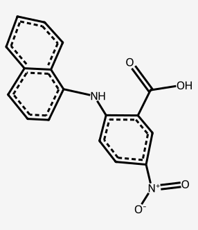 O=C(O)c1cc([N+](=O)[O-])ccc1Nc1cccc2ccccc12